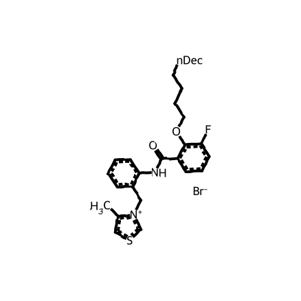 CCCCCCCCCCCCCCOc1c(F)cccc1C(=O)Nc1ccccc1C[n+]1cscc1C.[Br-]